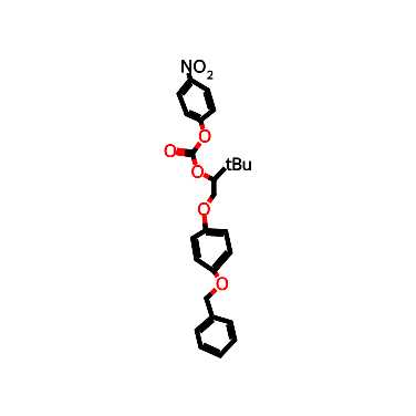 CC(C)(C)C(COc1ccc(OCc2ccccc2)cc1)OC(=O)Oc1ccc([N+](=O)[O-])cc1